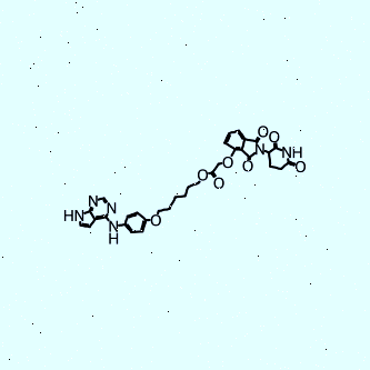 O=C1CCC(N2C(=O)c3cccc(OCC(=O)OCCCCCCOc4ccc(Nc5ncnc6[nH]ccc56)cc4)c3C2=O)C(=O)N1